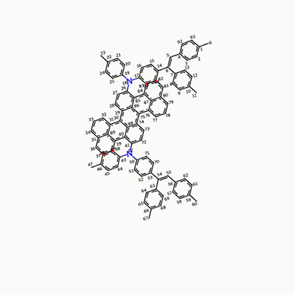 Cc1ccc(C=C(c2ccc(C)cc2)c2ccc(N(c3ccc(C)cc3)c3ccc4c5c6cccc7cccc(c8c(N(c9ccc(C)cc9)c9ccc(C(=Cc%10ccc(C)cc%10)c%10ccc(C)cc%10)cc9)ccc(c9c%10cccc%11cccc(c3c49)c%11%10)c85)c76)cc2)cc1